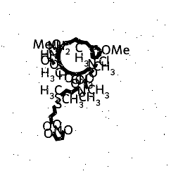 COc1cc2cc(c1Cl)N(C)C(=O)CC(OC(=O)[C@H](C)N(C)C(=O)CCC(C)(C)SSCCCC(=O)ON1C(=O)CCC1=O)[C@@]1(C)O[C@@H]1C(C)C1CC(ON)(NC(=O)O1)C(OC)/C=C/C=C(\C)C2